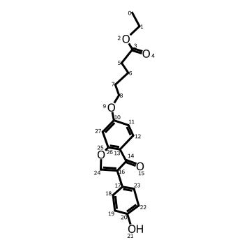 CCOC(=O)CCCCOc1ccc2c(=O)c(-c3ccc(O)cc3)coc2c1